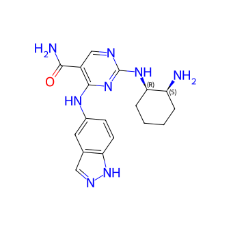 NC(=O)c1cnc(N[C@@H]2CCCC[C@@H]2N)nc1Nc1ccc2[nH]ncc2c1